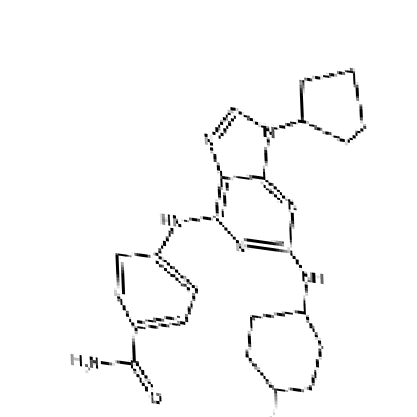 NC(=O)c1ccc(Nc2nc(NC3CCC(N)CC3)nc3c2ncn3C2CCCC2)cc1